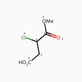 COC(=O)C(Cl)CC(=O)O